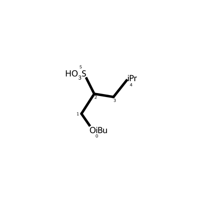 CC(C)COCC(CC(C)C)S(=O)(=O)O